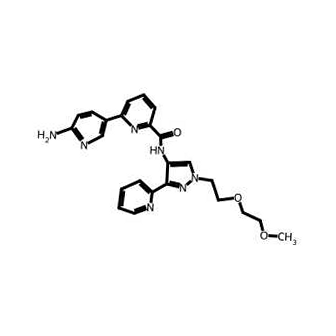 COCCOCCn1cc(NC(=O)c2cccc(-c3ccc(N)nc3)n2)c(-c2ccccn2)n1